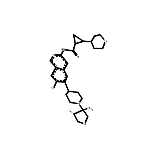 C[C@@]1(N2CCC(c3cc4cc(NC(=O)C5CC5C5CCOCC5)ncc4cc3Cl)CC2)COC[C@@H]1F